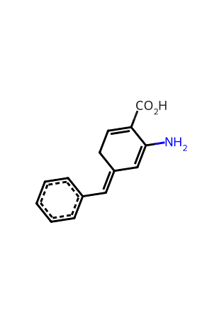 NC1=CC(=Cc2ccccc2)CC=C1C(=O)O